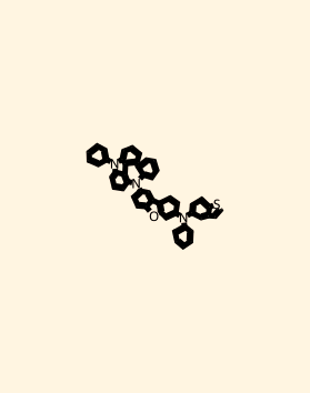 c1ccc(N(c2ccc3sccc3c2)c2ccc3c(c2)oc2ccc(N(c4ccccc4)c4cccc5c4c4ccccc4n5-c4ccccc4)cc23)cc1